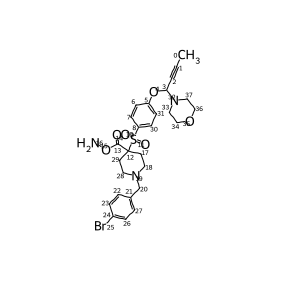 CC#CC(Oc1ccc(S(=O)(=O)C2(C(=O)ON)CCN(Cc3ccc(Br)cc3)CC2)cc1)N1CCOCC1